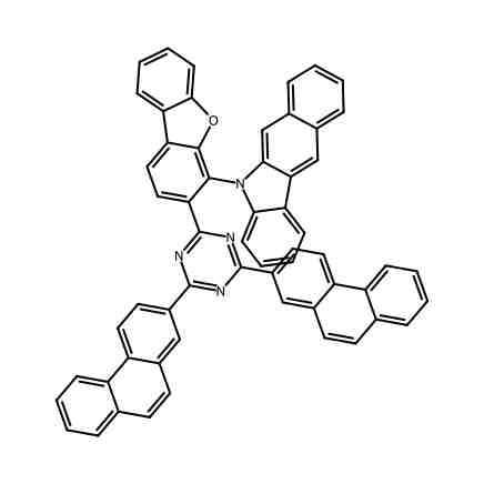 c1ccc2cc3c(cc2c1)c1ccccc1n3-c1c(-c2nc(-c3ccc4c(ccc5ccccc54)c3)nc(-c3ccc4c(ccc5ccccc54)c3)n2)ccc2c1oc1ccccc12